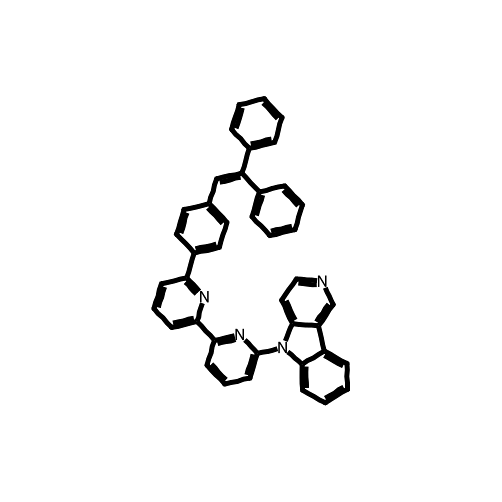 C(=C(c1ccccc1)c1ccccc1)c1ccc(-c2cccc(-c3cccc(-n4c5ccccc5c5cnccc54)n3)n2)cc1